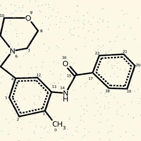 Cc1ccc(CN2CCOCC2)cc1NC(=O)c1ccccc1